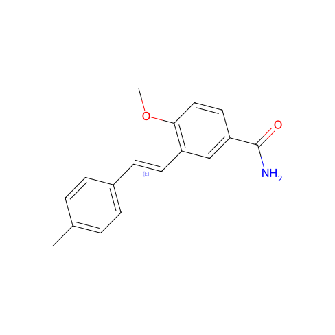 COc1ccc(C(N)=O)cc1/C=C/c1ccc(C)cc1